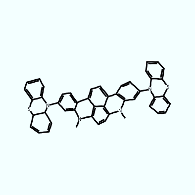 CN1c2cc(N3c4ccccc4Sc4ccccc43)ccc2-c2ccc3c4c(ccc1c24)N(C)c1cc(N2c4ccccc4SC4C=CC=CC42)ccc1-3